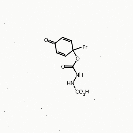 CC(C)C1(OC(=O)NNC(=O)O)C=CC(=O)C=C1